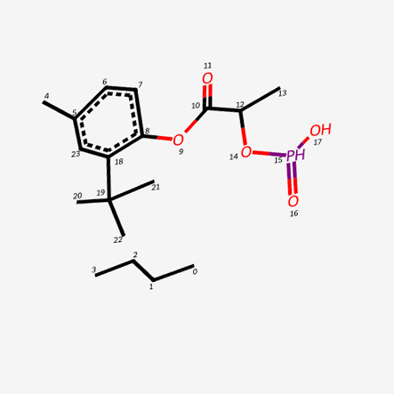 CCCC.Cc1ccc(OC(=O)C(C)O[PH](=O)O)c(C(C)(C)C)c1